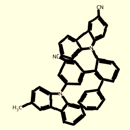 Cc1ccc2c(c1)c1ccccc1n2-c1cc(C#N)cc(-c2c(-c3ccccc3)cccc2-n2c3ccccc3c3cc(C#N)ccc32)c1